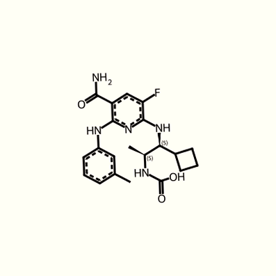 Cc1cccc(Nc2nc(N[C@@H](C3CCC3)[C@H](C)NC(=O)O)c(F)cc2C(N)=O)c1